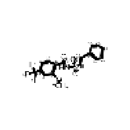 COc1cc(C(F)(F)F)ccc1C(=O)NS(=O)(=O)/C=C/c1ccccc1